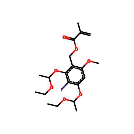 C=C(C)C(=O)OCc1c(OC)cc(OC(C)OCC)c(I)c1OC(C)OCC